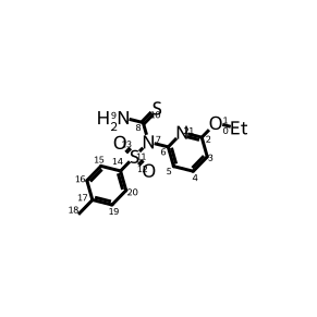 CCOc1cccc(N(C(N)=S)S(=O)(=O)c2ccc(C)cc2)n1